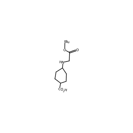 CC(C)(C)OC(=O)CNC1CCC(C(=O)O)CC1